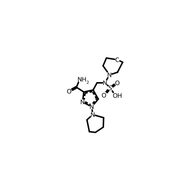 NC(=O)c1nn(N2CCCCC2)cc1CN(N1CCCCC1)S(=O)(=O)O